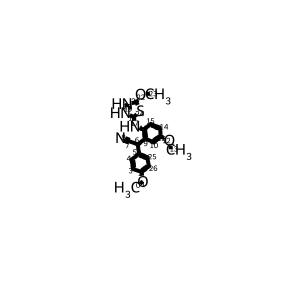 COc1ccc(C(C#N)c2cc(OC)ccc2NC2NNC(OC)S2)cc1